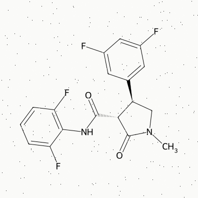 CN1C[C@H](c2cc(F)cc(F)c2)[C@@H](C(=O)Nc2c(F)cccc2F)C1=O